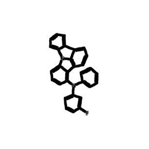 Fc1cccc(N(c2ccccc2)c2cccc3c2c2cccc4c5ccccc5n3c42)c1